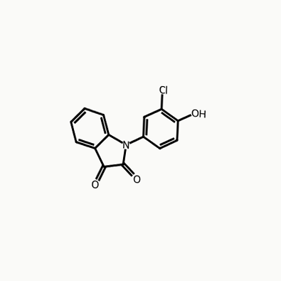 O=C1C(=O)N(c2ccc(O)c(Cl)c2)c2ccccc21